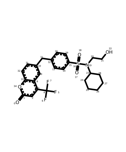 O=c1cc(C(F)(F)F)c2cc(Cc3ccc(S(=O)(=O)N(CCO)C4CCCCC4)cc3)ccc2o1